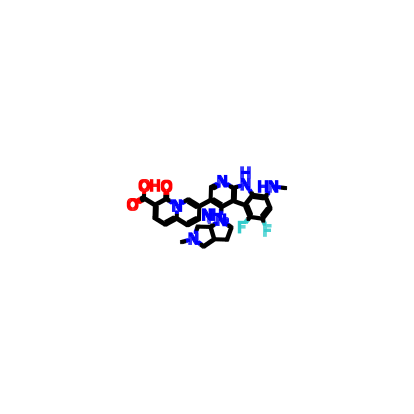 CNc1cc(F)c(F)c2c1[nH]c1ncc(-c3ccc4ccc(C(=O)O)c(=O)n4c3)c(N3CCC4CN(C)C[C@]43N)c12